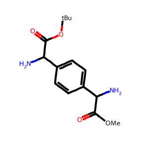 COC(=O)C(N)c1ccc(C(N)C(=O)OC(C)(C)C)cc1